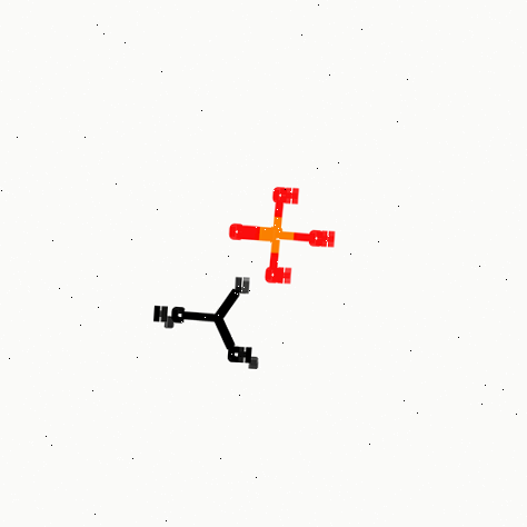 O=P(O)(O)O.[Li][CH](C)C